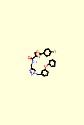 O=C(NCc1cn(Cc2cccc(Oc3ccccc3)c2)nn1)c1coc(-c2ccc(Cl)cc2)n1